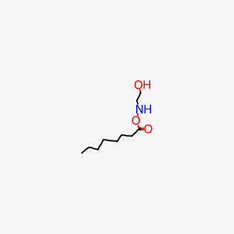 CCCCCCCC(=O)ONCCO